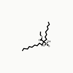 CCCCCCCCCC(CCCCCCCC)(C(=O)OCC)P(=O)(O)O